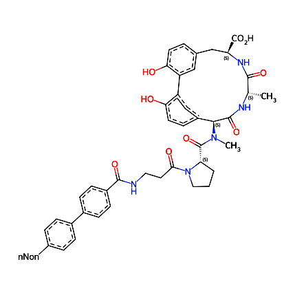 CCCCCCCCCc1ccc(-c2ccc(C(=O)NCCC(=O)N3CCC[C@H]3C(=O)N(C)[C@@H]3C(=O)N[C@@H](C)C(=O)N[C@H](C(=O)O)Cc4ccc(O)c(c4)-c4cc3ccc4O)cc2)cc1